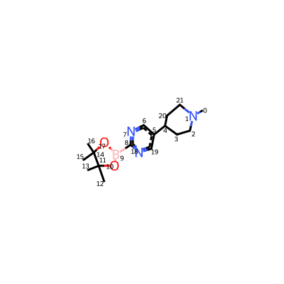 CN1CCC(c2cnc(B3OC(C)(C)C(C)(C)O3)nc2)CC1